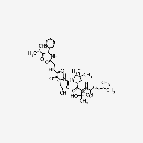 CCC[C@H](NC(=O)[C@@H]1CC(C)(C)CN1C(=O)[C@@H](NC(=O)OCC(C)C)C(C)(O)O)C(=O)C(=O)NCC(=O)NC(C(=O)N(C)C)c1ccccc1